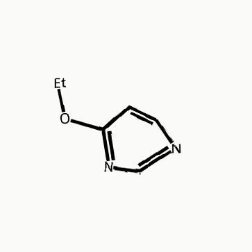 CCOc1ccn[c]n1